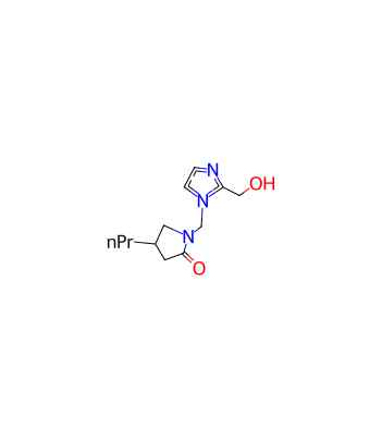 CCCC1CC(=O)N(Cn2ccnc2CO)C1